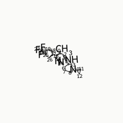 Cc1cc(N[C@@H]2CCCN(C3CC3)C2)nnc1-c1ccc(C(F)(F)F)cc1